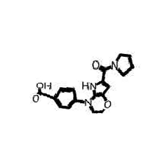 O=C(O)c1ccc(N2CCOc3cc(C(=O)N4CCCC4)[nH]c32)cc1